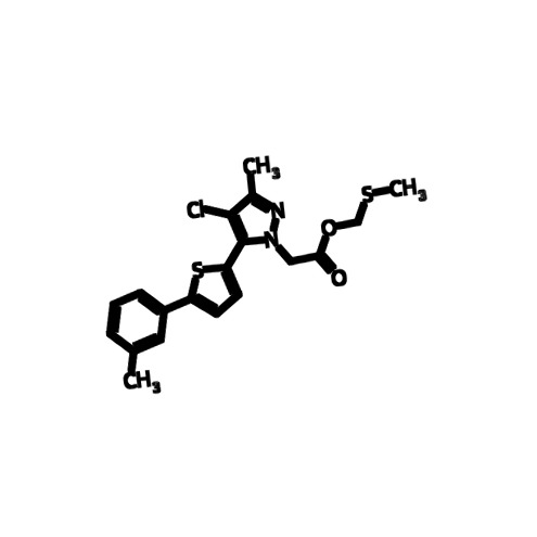 CSCOC(=O)Cn1nc(C)c(Cl)c1-c1ccc(-c2cccc(C)c2)s1